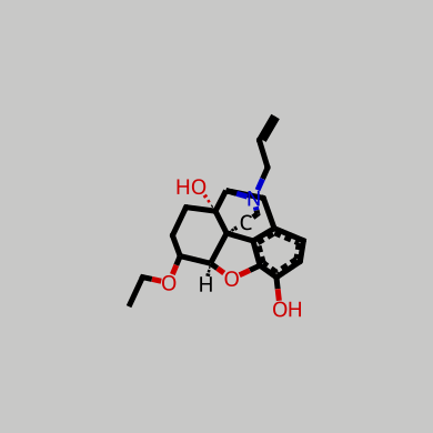 C=CCN1CC[C@]23c4c5ccc(O)c4O[C@H]2C(OCC)CC[C@@]3(O)C1C5